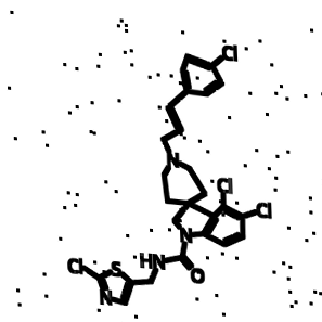 O=C(NCc1cnc(Cl)s1)N1CC2(CCN(CC=Cc3ccc(Cl)cc3)CC2)c2c1ccc(Cl)c2Cl